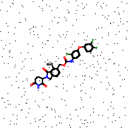 COc1c(COC(=O)Nc2ccc(Oc3ccc(F)c(F)c3)cc2F)ccc2c1C(=O)N(C1CCC(=O)NC1=O)C2